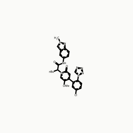 CCCCC(C(=O)Nc1ccc2nn(C)cc2c1)n1cc(OC)c(-c2cc(Cl)ccc2-n2cnnn2)cc1=O